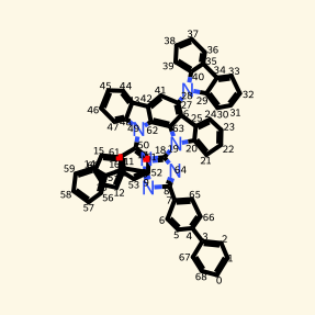 c1ccc(-c2ccc(-c3nc(-c4ccccc4)nc(-n4c5ccccc5c5c(-n6c7ccccc7c7ccccc76)cc6c7ccccc7n(-c7cccc(-c8ccccc8)c7)c6c54)n3)cc2)cc1